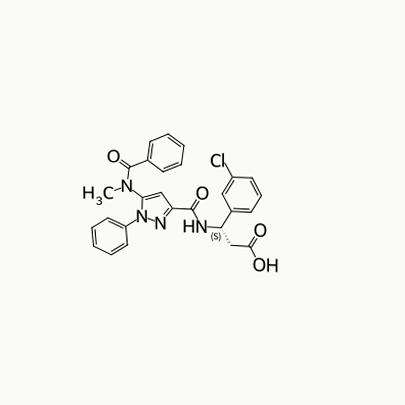 CN(C(=O)c1ccccc1)c1cc(C(=O)N[C@@H](CC(=O)O)c2cccc(Cl)c2)nn1-c1ccccc1